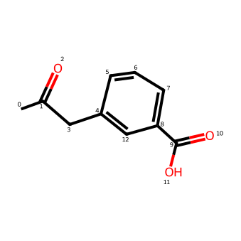 CC(=O)Cc1cccc(C(=O)O)c1